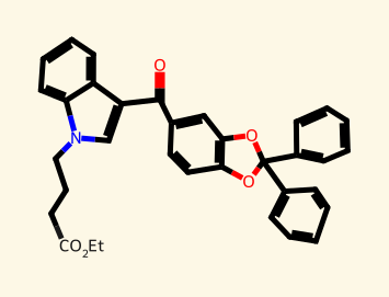 CCOC(=O)CCCn1cc(C(=O)c2ccc3c(c2)OC(c2ccccc2)(c2ccccc2)O3)c2ccccc21